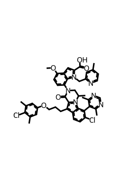 COc1ccc(N2CC(C)n3c(c(CCCOc4cc(C)c(Cl)c(C)c4)c4ccc(Cl)c(-c5c(C)ncnc5C)c43)C2=O)c2c1cc(C(=O)O)n2Cc1cc(C)ccn1